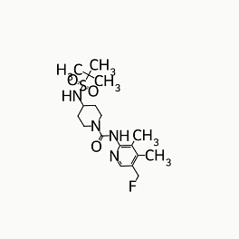 Cc1c(CF)cnc(NC(=O)N2CCC(NS(=O)(=O)C(C)(C)C)CC2)c1C